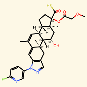 COCC(=O)O[C@]1(C(=O)S)CC[C@H]2[C@@H]3C=C(C)C4=Cc5c(cnn5-c5ccc(F)nc5)C[C@]4(C)[C@H]3[C@@H](O)C[C@@]21C